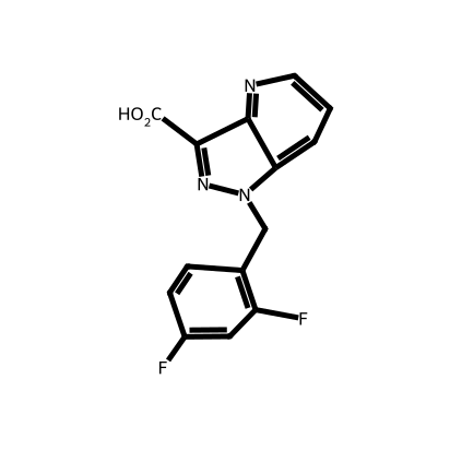 O=C(O)c1nn(Cc2ccc(F)cc2F)c2cccnc12